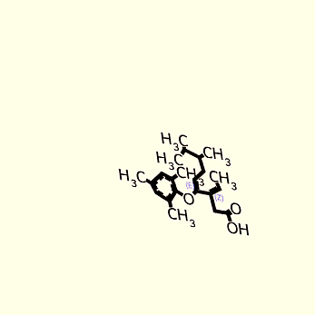 C/C=C(CC(=O)O)\C(=C/CC(C)C(C)C)Oc1c(C)cc(C)cc1C